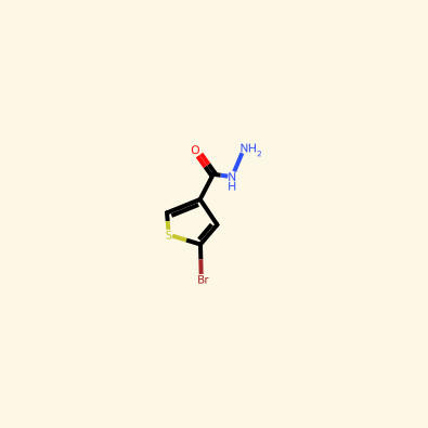 NNC(=O)c1csc(Br)c1